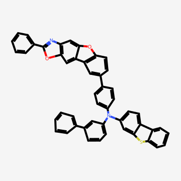 c1ccc(-c2cccc(N(c3ccc(-c4ccc5oc6cc7nc(-c8ccccc8)oc7cc6c5c4)cc3)c3ccc4c(c3)sc3ccccc34)c2)cc1